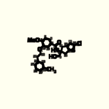 COc1ccc(C(=O)NC2(CO)Cc3cc(Cl)sc3C2)cc1OCCc1cccc(C)c1